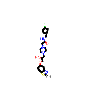 Cc1nc2cc(OCC(O)CN3CCN(CC(=O)NCc4ccc(Cl)cc4)CC3)ccc2s1